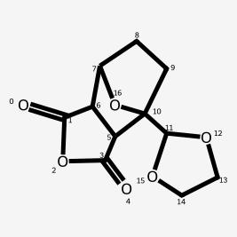 O=C1OC(=O)C2C1C1CCC2(C2OCCO2)O1